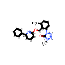 Cc1cccc(-n2nnn(C)c2=O)c1COc1cccc(-c2ccccc2)n1